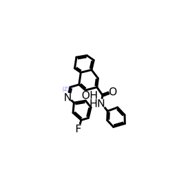 O=C(Nc1ccccc1)c1cc2ccccc2c(/C=N\c2cccc(F)c2)c1O